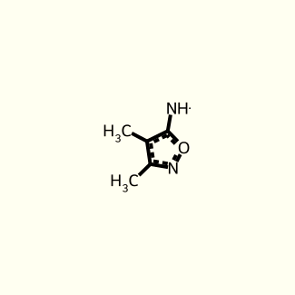 Cc1noc([NH])c1C